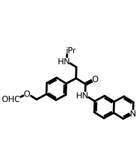 CC(C)NCC(C(=O)Nc1ccc2cnccc2c1)c1ccc(COC=O)cc1